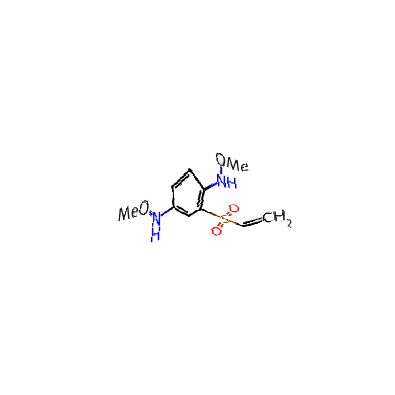 C=CS(=O)(=O)c1cc(NOC)ccc1NOC